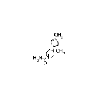 Cc1ccc(C2(C)CCN(C(N)=O)CC2)cc1